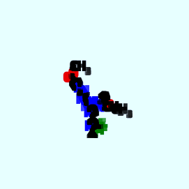 CCOCC1(CN(CC)c2cc(-c3cnc(C4CC4)c(C(F)(F)F)c3)nc3nc(-c4cnc(N5CCC(C(=O)OCC)CC5)cn4)[nH]c23)CCCC1